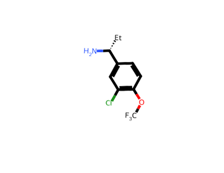 CC[C@@H](N)c1ccc(OC(F)(F)F)c(Cl)c1